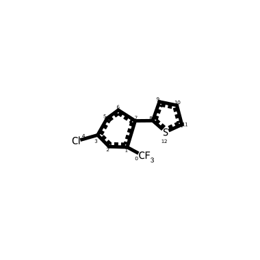 FC(F)(F)c1cc(Cl)ccc1-c1cc[c]s1